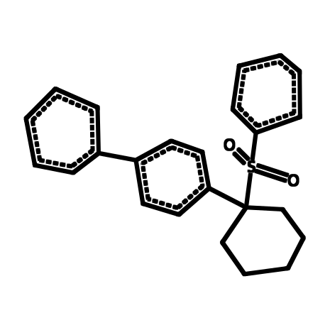 O=S(=O)(c1ccccc1)C1(c2ccc(-c3ccccc3)cc2)CCCCC1